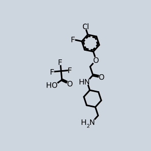 NCC1CCC(NC(=O)COc2ccc(Cl)c(F)c2)CC1.O=C(O)C(F)(F)F